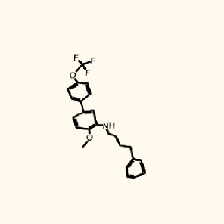 COc1ccc(-c2ccc(OC(F)(F)F)cc2)cc1NCCCCc1ccccc1